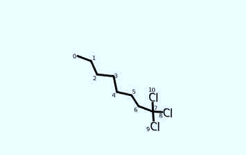 CCCCCCCC(Cl)(Cl)Cl